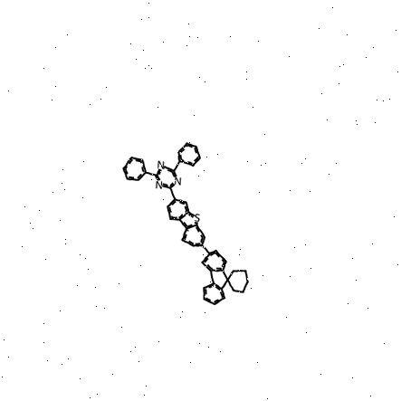 c1ccc(-c2nc(-c3ccccc3)nc(-c3ccc4c(c3)sc3cc(-c5ccc6c(c5)-c5ccccc5C65CCCCC5)ccc34)n2)cc1